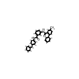 Cc1ccc(-c2ccccc2)c(C(=O)Nc2cccc(C(=O)Nc3ccc(Cc4ccccc4)cc3)c2)c1